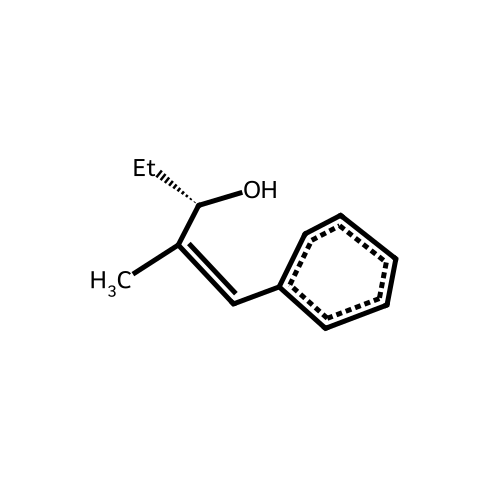 CC[C@H](O)C(C)=Cc1ccccc1